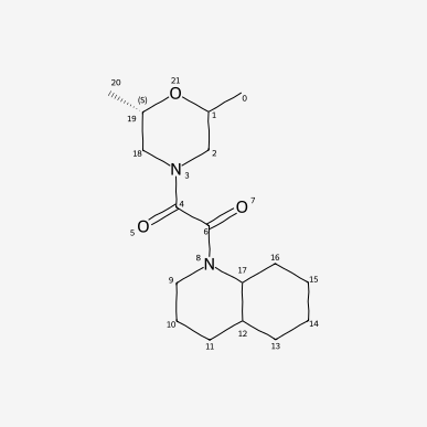 CC1CN(C(=O)C(=O)N2CCCC3CCCCC32)C[C@H](C)O1